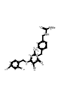 CNC(=O)NCc1ccc(Cn2c(C)nc(OCc3ccc(F)cc3F)c(Br)c2=O)cc1